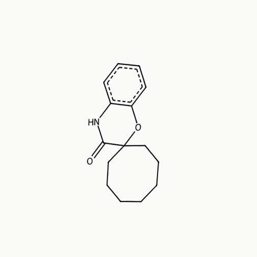 O=C1Nc2ccccc2OC12CCCCCCC2